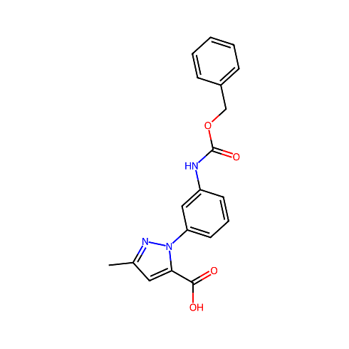 Cc1cc(C(=O)O)n(-c2cccc(NC(=O)OCc3ccccc3)c2)n1